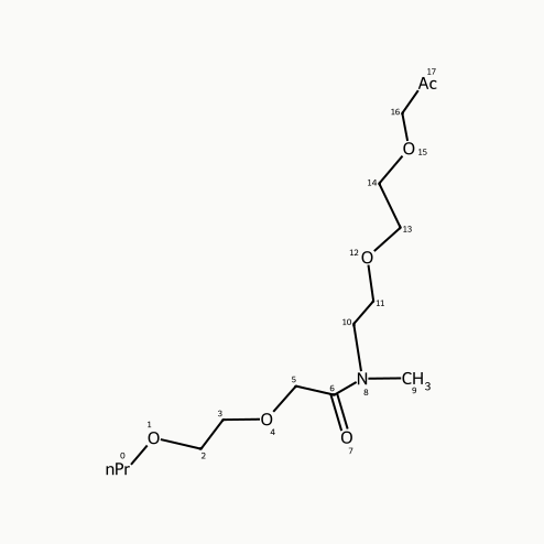 CCCOCCOCC(=O)N(C)CCOCCOCC(C)=O